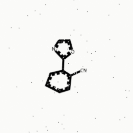 N#Cc1ccccc1-c1ncco1